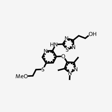 COCCSc1cnc(Nc2nc(CCO)ns2)c(Oc2c(C)nn(C)c2C)c1